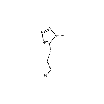 Cn1nnnc1SCC[NH]